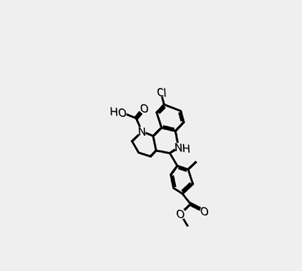 COC(=O)c1ccc(C2Nc3ccc(Cl)cc3C3C2CCCN3C(=O)O)c(C)c1